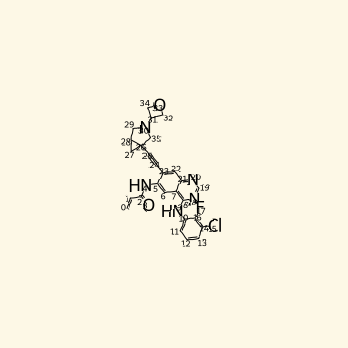 C=CC(=O)Nc1cc2c(Nc3cccc(Cl)c3F)ncnc2cc1C#CC12CC1CN(C1COC1)C2